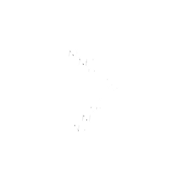 [Nb+5].[Nb+5].[Nb].[Nb].[O-2].[O-2].[O-2].[O-2].[O-2]